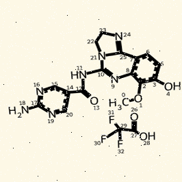 COc1c(O)ccc2c1N=C(NC(=O)c1cnc(N)nc1)N1CCN=C21.O=C(O)C(F)(F)F